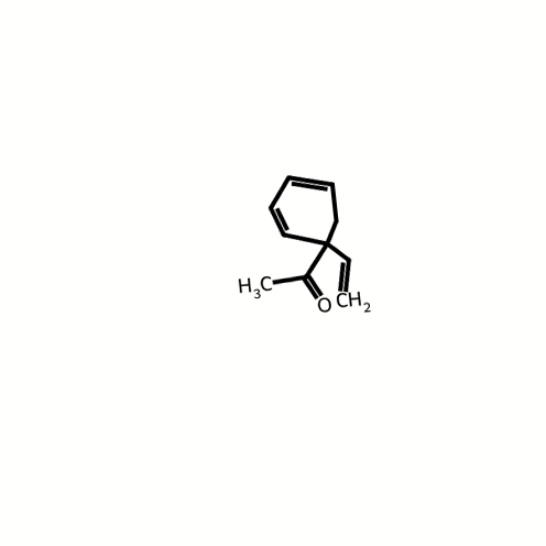 C=CC1(C(C)=O)C=CC=CC1